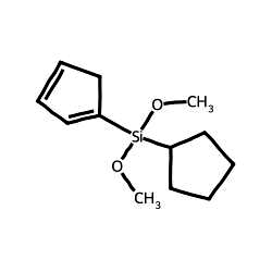 CO[Si](OC)(C1=CC=CC1)C1CCCC1